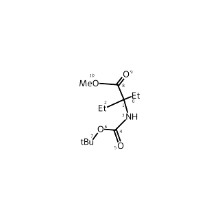 CCC(CC)(NC(=O)OC(C)(C)C)C(=O)OC